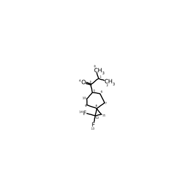 CC(C)C(=O)C1CCC2(CC1)CC2(F)F